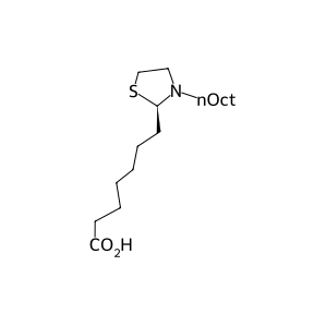 CCCCCCCCN1CCS[C@@H]1CCCCCCC(=O)O